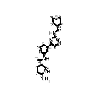 C[C@@H]1CC[C@@H](C(=O)Nc2cc(-c3cncc(NCC4CCOCC4)n3)ccn2)CN1